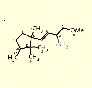 COCC(N)C=CC1(C)CCC(C)C1(C)C